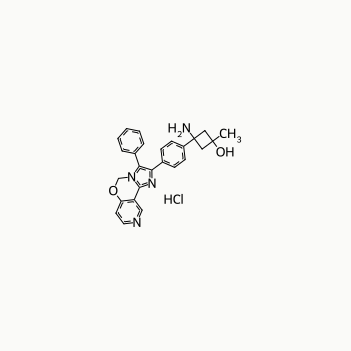 CC1(O)CC(N)(c2ccc(-c3nc4n(c3-c3ccccc3)COc3ccncc3-4)cc2)C1.Cl